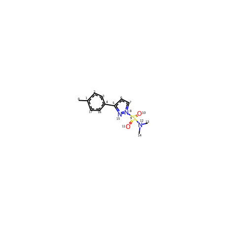 Cc1ccc(-c2ccn(S(=O)(=O)N(C)C)n2)cc1